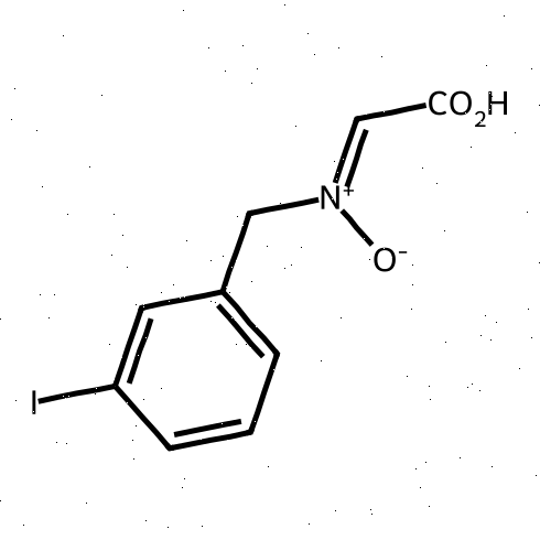 O=C(O)C=[N+]([O-])Cc1cccc(I)c1